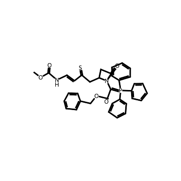 COC(=O)NC=CC(=S)CC1CC(=O)N1C(C(=O)OCc1ccccc1)=P(c1ccccc1)(c1ccccc1)c1ccccc1